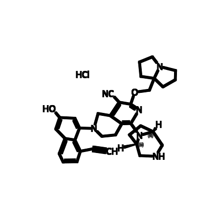 C#Cc1cccc2cc(O)cc(N3CCc4c(N5[C@@H]6CC[C@H]5CNC6)nc(OCC56CCCN5CCC6)c(C#N)c4C3)c12.Cl